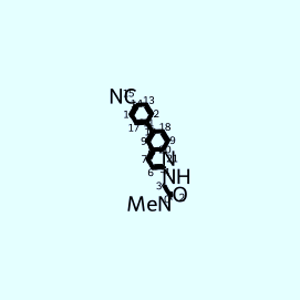 CNC(=O)CNc1ccc2cc(-c3ccc(C#N)cc3)ccc2n1